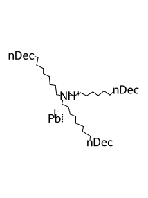 CCCCCCCCCCCCCCCCCC[NH+](CCCCCCCCCCCCCCCCCC)CCCCCCCCCCCCCCCCCC.[I-].[Pb]